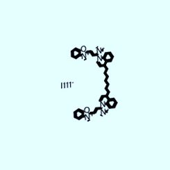 C[N+](C)=C(C=Cc1oc2ccccc2[n+]1C)N1C=CC(CCCCCCCC2C=CN(C(C=Cc3oc4ccccc4[n+]3C)=[N+](C)C)c3ccccc32)c2ccccc21.[I-].[I-].[I-].[I-]